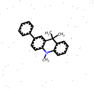 CN1c2ccccc2C(C)(C)c2cc(-c3ccccc3)ccc21